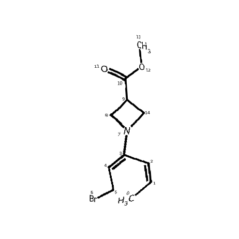 C/C=C\C(=C/CBr)N1CC(C(=O)OC)C1